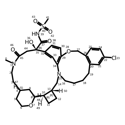 CN1CC[C@H]2CCO[C@@H](C2)[C@@H]2CC[C@H]2CN2CCCCc3cc(Cl)ccc3COc3ccc(cc32)[C@@](O)(C(=O)NS(C)(=O)=O)CC1=O